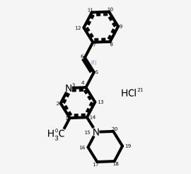 Cc1cnc(/C=C/c2ccccc2)cc1N1CCCCC1.Cl